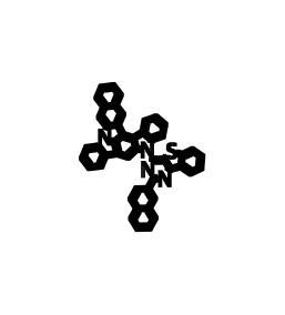 c1ccc2cc(-c3nc(-n4c5ccccc5c5c6c7cc8ccccc8cc7n7c8ccccc8c(cc54)c67)c4sc5ccccc5c4n3)ccc2c1